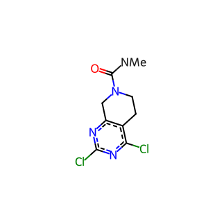 CNC(=O)N1CCc2c(Cl)nc(Cl)nc2C1